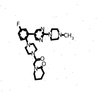 CN1CCN(c2ncc(-c3cc(F)ccc3N3CCN(C(=O)CN4CCCCC4=O)CC3)cn2)CC1